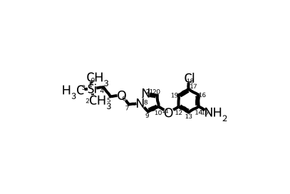 C[Si](C)(C)CCOCn1cc(Oc2cc(N)cc(Cl)c2)cn1